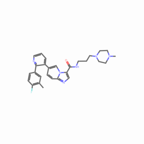 Cc1cc(-c2ncccc2-c2ccc3ncc(C(=O)NCCCN4CCN(C)CC4)n3c2)ccc1F